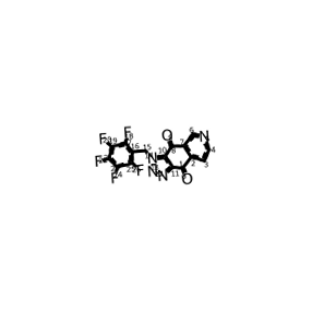 O=C1c2ccncc2C(=O)c2c1nnn2Cc1c(F)c(F)c(F)c(F)c1F